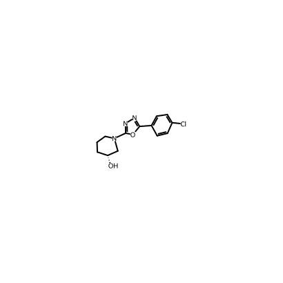 O[C@@H]1CCCN(c2nnc(-c3ccc(Cl)cc3)o2)C1